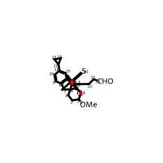 COC1CCC2(CC1)Cc1ccc(C3CC3)cc1C21NC(=S)N(CCC=O)C1=O